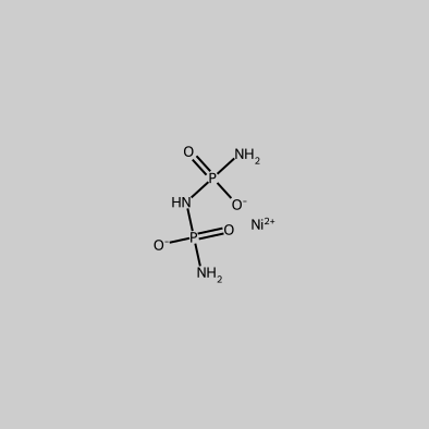 NP(=O)([O-])NP(N)(=O)[O-].[Ni+2]